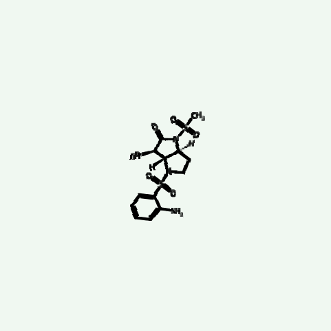 CCC[C@H]1C(=O)N(S(C)(=O)=O)[C@H]2CCN(S(=O)(=O)c3ccccc3N)[C@H]12